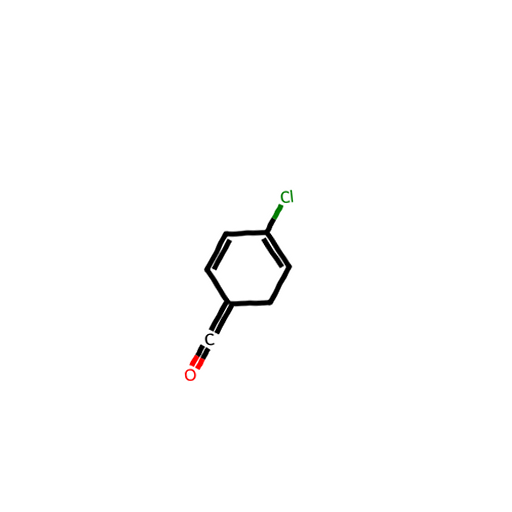 O=C=C1C=CC(Cl)=CC1